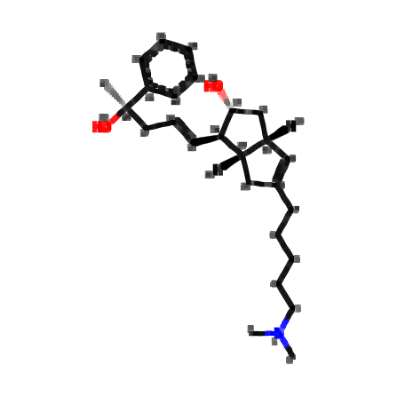 CN(C)CCCCCC1=C[C@H]2C[C@@H](O)[C@H](/C=C/C[C@@](C)(O)c3ccccc3)[C@H]2C1